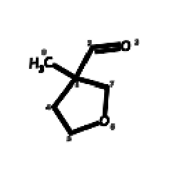 CC1(C=O)CCOC1